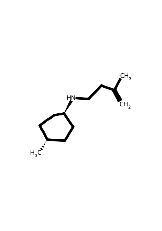 C=C(C)CCN[C@H]1CC[C@H](C)CC1